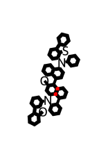 c1ccc(-c2ccccc2N(c2ccc3c(c2)Oc2cccc4c(N(c5ccccc5)c5cccc6c5sc5ccccc56)ccc-3c24)c2cccc3c2oc2ccccc23)cc1